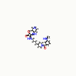 CCNc1cccc(C(=O)N2CCC(CCCCNc3c(Nc4ccncc4)c(=O)c3=O)CC2)c1